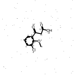 COc1c(Cl)cccc1C(=O)CC(=O)O